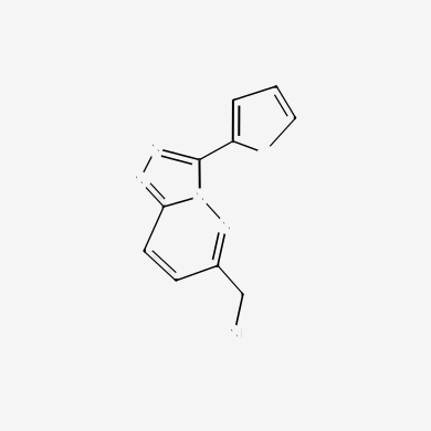 NCc1ccc2nnc(-c3cccs3)n2n1